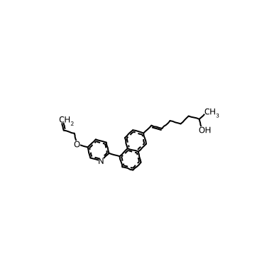 C=CCOc1ccc(-c2cccc3cc(C=CCCCC(C)O)ccc23)nc1